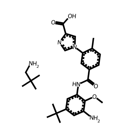 CC(C)(C)CN.COc1c(N)cc(C(C)(C)C)cc1NC(=O)c1ccc(C)c(-n2cnc(C(=O)O)c2)c1